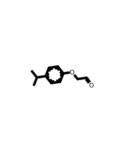 CC(C)c1ccc(OC[C]=O)cc1